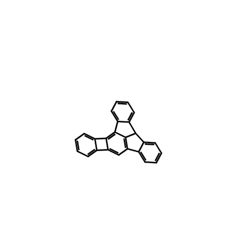 c1ccc2c(c1)-c1cc3c4c(c1-2)-c1ccccc1C4c1ccccc1-3